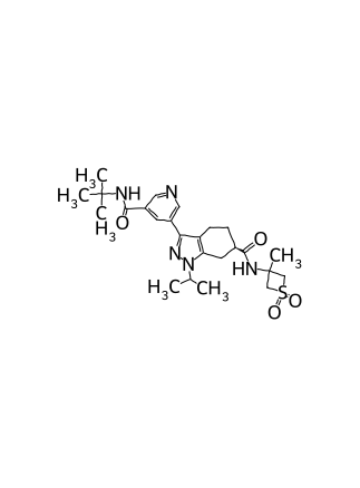 CC(C)n1nc(-c2cncc(C(=O)NC(C)(C)C)c2)c2c1C[C@H](C(=O)NC1(C)CS(=O)(=O)C1)CC2